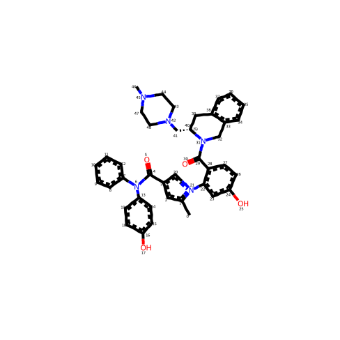 Cc1cc(C(=O)N(c2ccccc2)c2ccc(O)cc2)cn1-c1cc(O)ccc1C(=O)N1Cc2ccccc2C[C@H]1CN1CCN(C)CC1